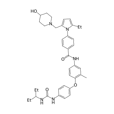 CCc1ccc(CN2CCC(O)CC2)n1-c1ccc(C(=O)Nc2ccc(Oc3ccc(NC(=O)NC(CC)CC)cc3)c(C)c2)cc1